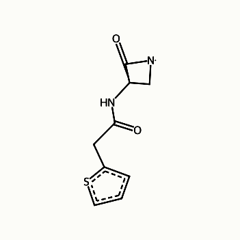 O=C(Cc1cccs1)NC1C[N]C1=O